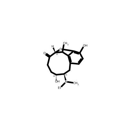 CCN(C)[C@@H]1Cc2ccc(O)c3c2C(C)[C@@H](O3)C(=O)CC[C@H]1O